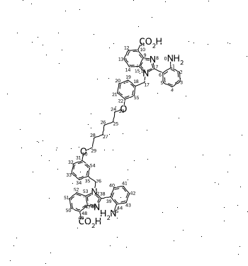 Nc1ccccc1-c1nc2c(C(=O)O)cccc2n1Cc1cccc(OCCCCCCOc2cccc(Cn3c(-c4ccccc4N)nc4c(C(=O)O)cccc43)c2)c1